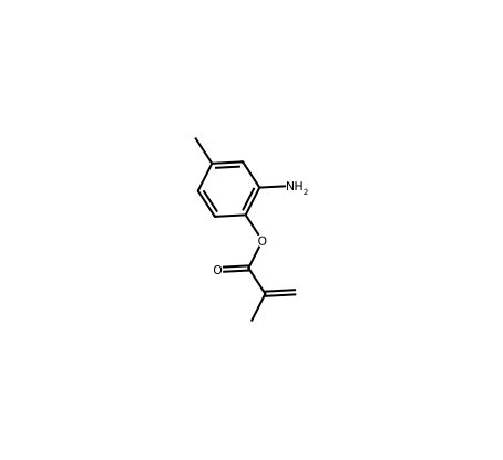 C=C(C)C(=O)Oc1ccc(C)cc1N